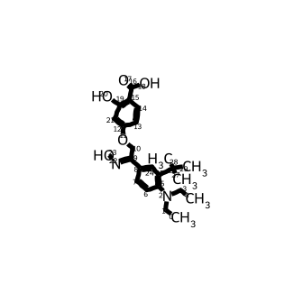 CCN(CC)c1ccc(C(COc2ccc(C(=O)O)c(O)c2)=NO)cc1C(C)(C)C